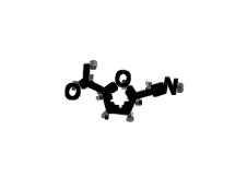 CC(=O)c1ccc(C#N)o1